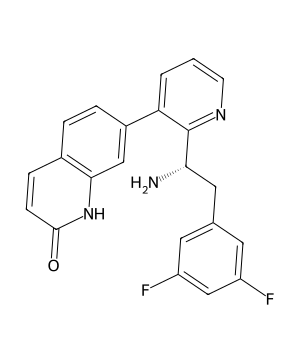 N[C@@H](Cc1cc(F)cc(F)c1)c1ncccc1-c1ccc2ccc(=O)[nH]c2c1